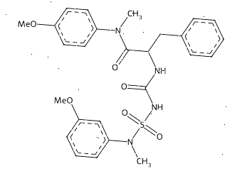 COc1ccc(N(C)C(=O)C(Cc2ccccc2)NC(=O)NS(=O)(=O)N(C)c2cccc(OC)c2)cc1